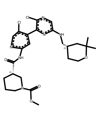 COC(=O)N1CCC[C@H](C(=O)Nc2cc(-c3nc(NC[C@H]4CCOC(C)(C)C4)cnc3Cl)c(Cl)cn2)C1